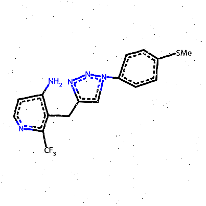 CSc1ccc(-n2cc(Cc3c(N)ccnc3C(F)(F)F)nn2)cc1